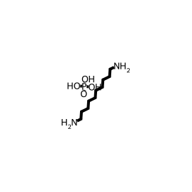 NCCCCCCCCCCN.O=P(O)(O)O